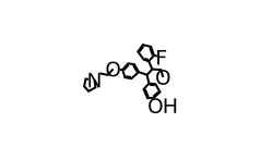 Oc1ccc2c(c1)OCC(c1ccccc1F)C2c1ccc(OCCN2CCCC2)cc1